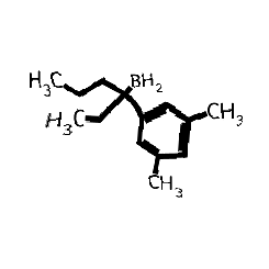 BC(CC)(CCC)c1cc(C)cc(C)c1